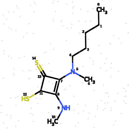 CCCCCN(C)C1=C(NC)C(S)C1=S